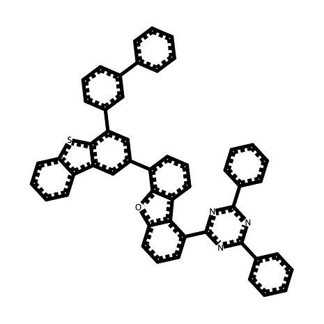 c1ccc(-c2cccc(-c3cc(-c4cccc5c4oc4cccc(-c6nc(-c7ccccc7)nc(-c7ccccc7)n6)c45)cc4c3sc3ccccc34)c2)cc1